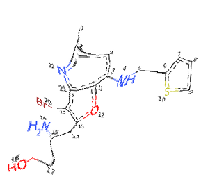 Cc1cc(NCc2cccs2)c2oc(C[C@@H](N)CO)c(Br)c2n1